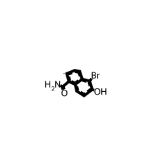 NC(=O)c1[c]ccc2c(Br)c(O)ccc12